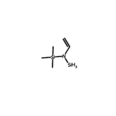 C=CN([SiH3])[Si](C)(C)C